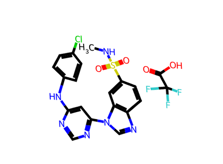 CNS(=O)(=O)c1ccc2ncn(-c3cc(Nc4ccc(Cl)cc4)ncn3)c2c1.O=C(O)C(F)(F)F